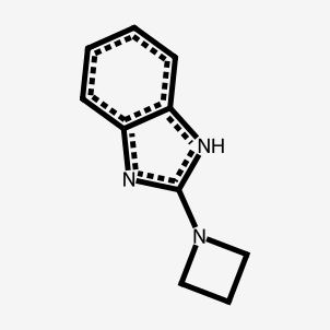 c1ccc2[nH]c(N3CCC3)nc2c1